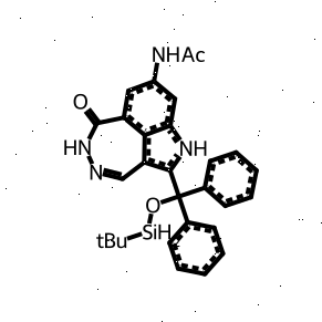 CC(=O)Nc1cc2c3c(c(C(O[SiH2]C(C)(C)C)(c4ccccc4)c4ccccc4)[nH]c3c1)C=NNC2=O